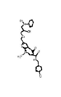 CCN(CC(O)COCc1cc2c(=O)c(C(=O)NCc3ccc(Cl)cc3)cn(C)c2s1)c1ccccc1